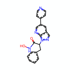 O=C(NO)C(Cc1ccccc1)n1ncc2cc(-c3ccncc3)cnc21